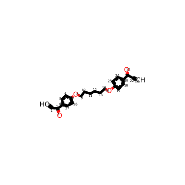 C#CC(=O)c1ccc(OCCCCCCOc2ccc(C(=O)C#C)cc2)cc1